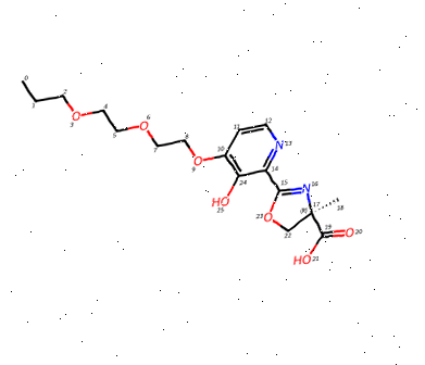 CCCOCCOCCOc1ccnc(C2=N[C@@](C)(C(=O)O)CO2)c1O